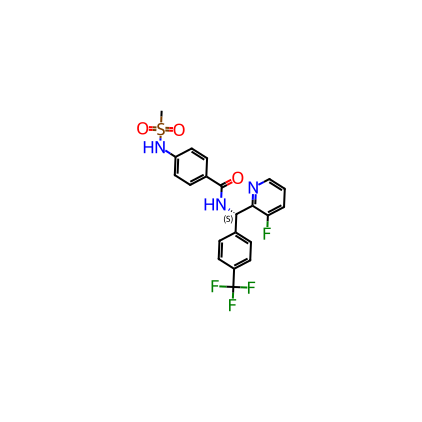 CS(=O)(=O)Nc1ccc(C(=O)N[C@@H](c2ccc(C(F)(F)F)cc2)c2ncccc2F)cc1